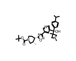 CC(C)c1ccc([C@](O)(c2cncc(-c3noc([C@H]4CCN(C(=O)OC(C)(C)C)C[C@H]4C)n3)c2)C2(C)CN(C)C2)cc1